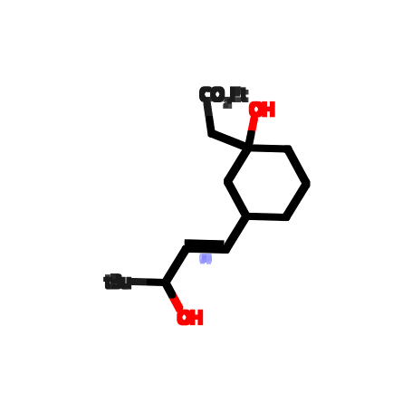 CCOC(=O)CC1(O)CCCC(/C=C/C(O)C(C)(C)C)C1